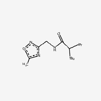 Cc1nc(CNC(=O)C(C(C)C)C(C)(C)C)no1